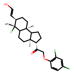 CCC[C@]1(F)C2CC[C@@]3(C)C(CC[C@@H]3C(=O)COc3ccc(F)cc3F)[C@@H]2CC[C@@H]1/C=C/O